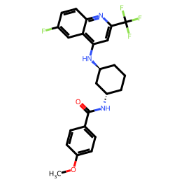 COc1ccc(C(=O)N[C@H]2CCC[C@H](Nc3cc(C(F)(F)F)nc4ccc(F)cc34)C2)cc1